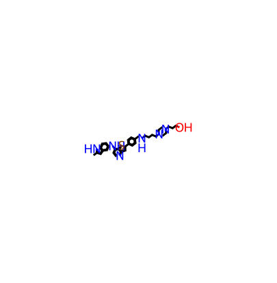 Cc1cc2cc(Nc3ccnc4cc(-c5ccc(CNCCCCN6CCN(CCCO)CC6)cc5)sc34)ccc2[nH]1